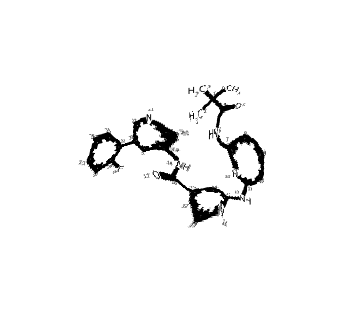 CC(C)(C)C(=O)Nc1cccc(Nc2cc(C(=O)Nc3cncc(-c4ccccc4F)c3)ccn2)n1